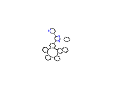 c1ccc(-c2nc(-c3cccnc3)cc(-c3ccc4c5ccccc5c5ccccc5c5ccccc5c5cc6ccccc6cc5c4c3)n2)cc1